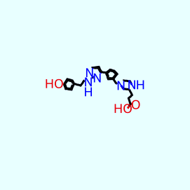 O=C(O)CCC1CN(Cc2cccc(-c3ccnc(NCCc4ccc(O)cc4)n3)c2)CCN1